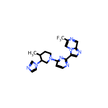 CC1CCN(c2ccnc(-c3cnc4cnc(C(F)(F)F)cn34)n2)CC1n1ccnc1